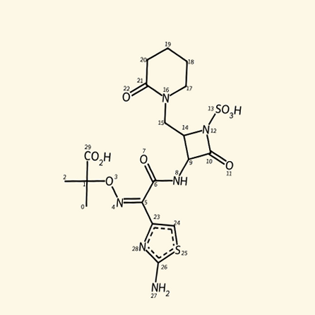 CC(C)(O/N=C(\C(=O)NC1C(=O)N(S(=O)(=O)O)C1CN1CCCCC1=O)c1csc(N)n1)C(=O)O